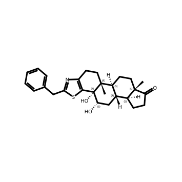 C[C@]12CC[C@H]3[C@@H](C[C@H](O)[C@@]4(O)c5sc(Cc6ccccc6)nc5CC[C@]34C)[C@@H]1CCC2=O